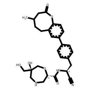 CC1CCc2cc(-c3ccc(C[C@@H](C#N)NC(=O)[C@@H]4CNC[C@](O)(CO)CO4)cc3)ccc2OC(=O)C1